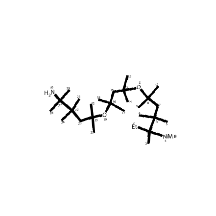 CCC(C)(NC)C(C)(C)CC(C)(C)OC(C)(C)CC(C)(C)OC(C)(C)CC(C)(C)C(C)(C)N